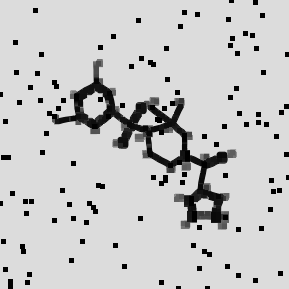 Cc1cc(C)cc(S(=O)(=O)N2CCN(C(=O)c3c[nH]nn3)CC2(C)C)c1